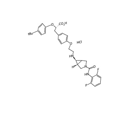 CC(C)(C)c1ccc(O[C@@H](Cc2ccc(OCCN[C@H]3C4CN(C(=O)Nc5c(F)cccc5F)C[C@@H]43)cc2)C(=O)O)cc1.Cl